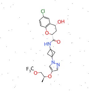 C[C@@H](COC(F)(F)F)Oc1cnn(C23CC(NC(=O)[C@H]4C[C@@H](O)c5cc(Cl)ccc5O4)(C2)C3)c1